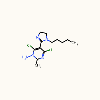 CCCCCN1CCN=C1C1=C(Cl)N(N)C(C)N=C1Cl